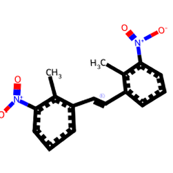 Cc1c(/C=C/c2cccc([N+](=O)[O-])c2C)cccc1[N+](=O)[O-]